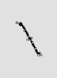 O=C(O)CCOCCOCCOCCOCCNC(=O)CCOCCOCCOCCOCCc1ccc(Br)cc1